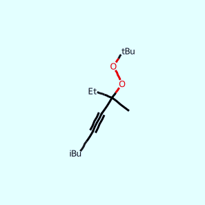 CCC(C)C#CC(C)(CC)OOC(C)(C)C